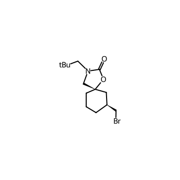 CC(C)(C)CN1C[C@@]2(CCC[C@H](CBr)C2)OC1=O